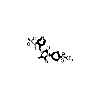 CC1C(=O)N(c2ccc(S(=O)(=O)C(F)(F)F)cc2)C(=O)N1Cc1ccncc1NS(C)(=O)=O